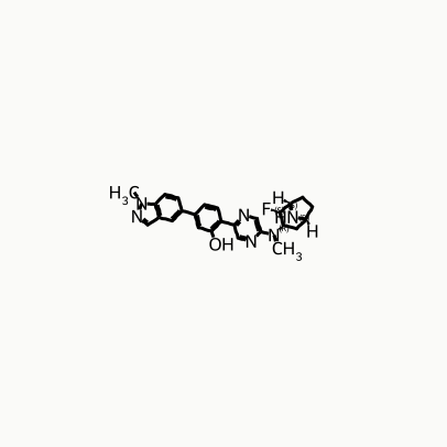 CN(c1cnc(-c2ccc(-c3ccc4c(cnn4C)c3)cc2O)cn1)[C@@H]1C[C@H]2CC[C@H](N2)[C@@H]1F